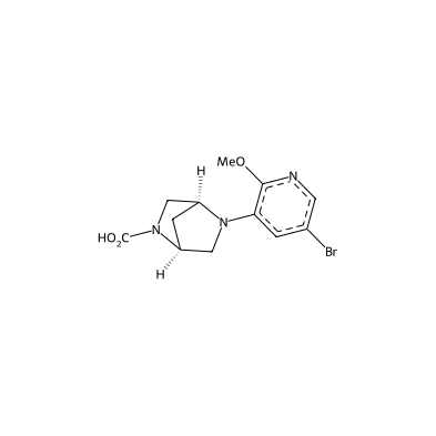 COc1ncc(Br)cc1N1C[C@@H]2C[C@H]1CN2C(=O)O